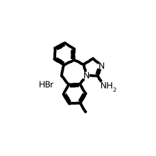 Br.Cc1ccc2c(c1)N1C(N)=NCC1c1ccccc1C2